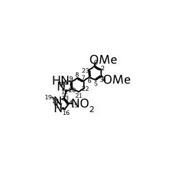 COc1cc(OC)cc(C2=Cc3[nH]nc(-c4c([N+](=O)[O-])cnn4C)c3CC2)c1